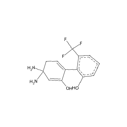 NC1(N)C=C(O)C(c2c(O)cccc2C(F)(F)F)=CC1